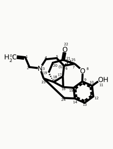 C=CCN1CC[C@@H]2C3Oc4c(O)ccc5c4C4C2[C@]4(CCC3=O)C1C5